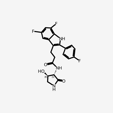 O=C(CCc1c(-c2ccc(F)cc2)[nH]c2c(F)cc(F)cc12)N[C@@H]1C(=O)NC[C@H]1O